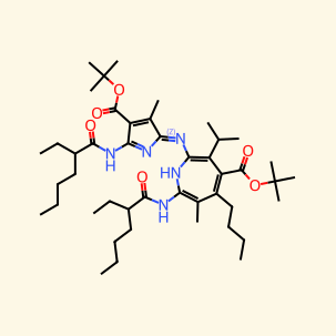 CCCCC1=C(C(=O)OC(C)(C)C)C(C(C)C)=C(/N=C2\N=C(NC(=O)C(CC)CCCC)C(C(=O)OC(C)(C)C)=C2C)NC(NC(=O)C(CC)CCCC)=C1C